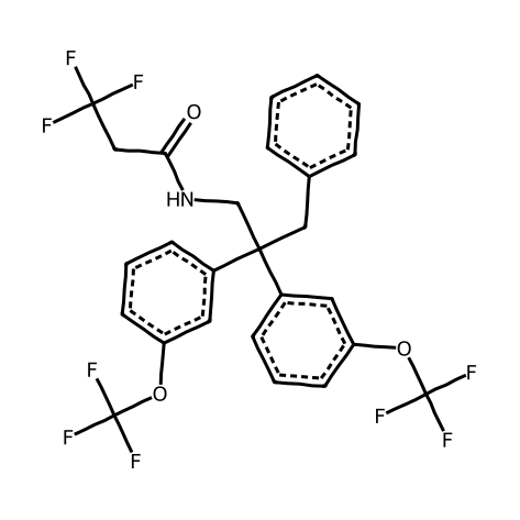 O=C(CC(F)(F)F)NCC(Cc1ccccc1)(c1cccc(OC(F)(F)F)c1)c1cccc(OC(F)(F)F)c1